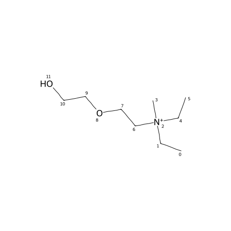 CC[N+](C)(CC)CCOCCO